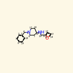 c1ccc(CN2CCC(NCc3ccco3)CC2)cc1